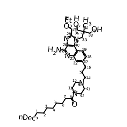 CCCCCCCCCCCCCCCCCC(=O)N1CCN(CCCc2ccc3c(c2)nc(N)c2nc(COCC)n(CC(C)(CO)CO)c23)CC1